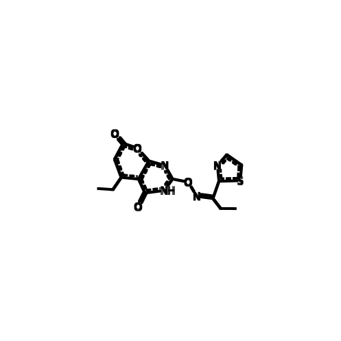 CC/C(=N/Oc1nc2oc(=O)cc(CC)c2c(=O)[nH]1)c1nccs1